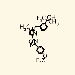 Cc1cc(-c2nc(-c3ccc(OC(F)(F)F)cc3)no2)nn1Cc1cccc(C(C)(O)C(F)(F)F)c1